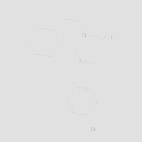 C[C@@H](C[C@H]1CCCOC1)N(OC(=O)Oc1ccc([N+](=O)[O-])cc1)C(=O)O